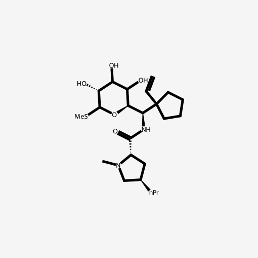 C=CC1([C@@H](NC(=O)[C@@H]2C[C@@H](CCC)CN2C)[C@H]2OC(SC)[C@H](O)C(O)C2O)CCCC1